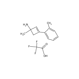 Cc1ccccc1C1=CC(C)(N)C1.O=C(O)C(F)(F)F